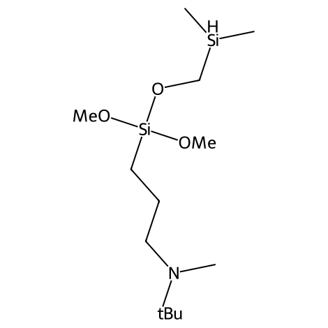 CO[Si](CCCN(C)C(C)(C)C)(OC)OC[SiH](C)C